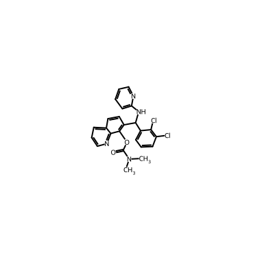 CN(C)C(=O)Oc1c(C(Nc2ccccn2)c2cccc(Cl)c2Cl)ccc2cccnc12